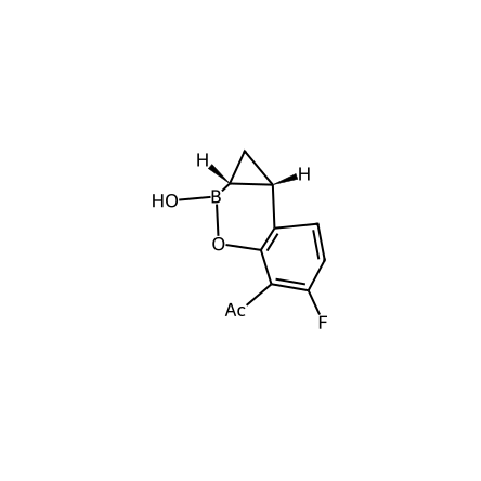 CC(=O)c1c(F)ccc2c1OB(O)[C@@H]1C[C@H]21